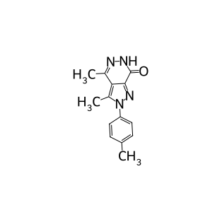 Cc1ccc(-n2nc3c(=O)[nH]nc(C)c3c2C)cc1